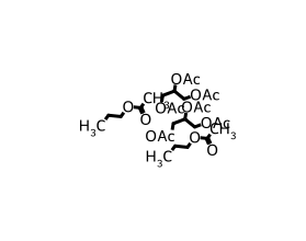 CC(=O)OCC(COC(C)=O)OC(C)=O.CC(=O)OCC(COC(C)=O)OC(C)=O.CCCOC(C)=O.CCCOC(C)=O